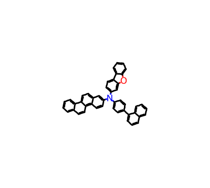 c1ccc2c(-c3ccc(N(c4ccc5c(ccc6c7ccccc7ccc56)c4)c4ccc5c(c4)oc4ccccc45)cc3)cccc2c1